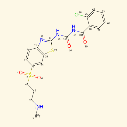 CC(C)NCCCS(=O)(=O)c1ccc2nc(NC(=O)NC(=O)c3ccccc3Cl)sc2c1